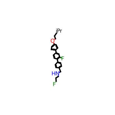 CC(C)CCCOc1ccc(-c2ccc(-c3ccc(CNCCCF)cc3)c(F)c2)cc1